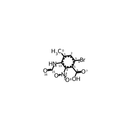 Cc1cc(Br)c(C(=O)O)c([N+](=O)[O-])c1NC=O